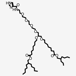 CCCCCC(CCCCC)COC(=O)CCCCCCCOC(COCCCCCCCC(=O)OCC(CCC)CCCC)COCCOCCOCCOCCNC(=O)c1c[nH]cn1